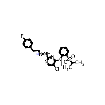 CC(C)S(=O)(=O)c1ccccc1Nc1nc(N/N=C/Cc2ccc(F)cc2)ncc1Cl